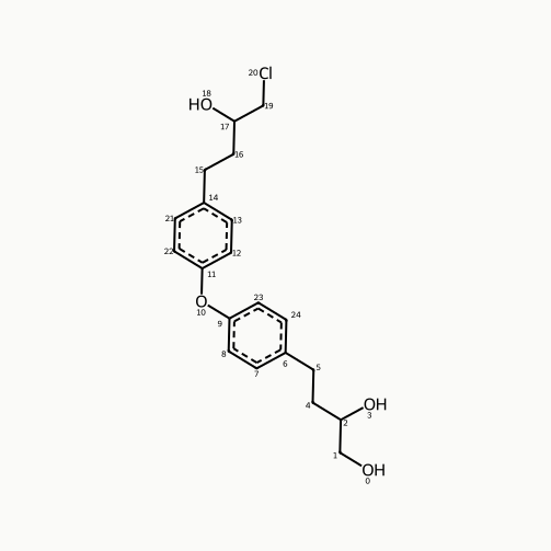 OCC(O)CCc1ccc(Oc2ccc(CCC(O)CCl)cc2)cc1